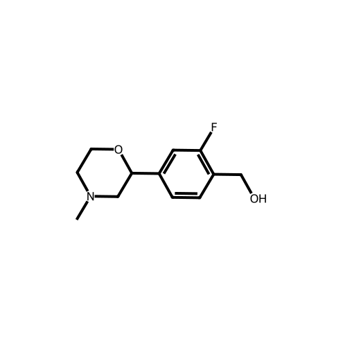 CN1CCOC(c2ccc(CO)c(F)c2)C1